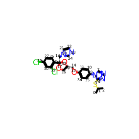 CC(C)Sc1nncn1-c1ccc(OC[C@@H]2CO[C@@](Cn3ccnc3)(c3ccc(Cl)cc3Cl)O2)cc1